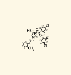 Br.Cc1ccccc1OCCN1C=CN(C(Cl)C(OCc2ccc(Cl)cc2Cl)c2ccc(Cl)cc2)C1